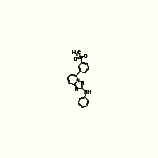 CS(=O)(=O)c1cccc(-c2cccc3nc(Nc4ccccc4)nn23)c1